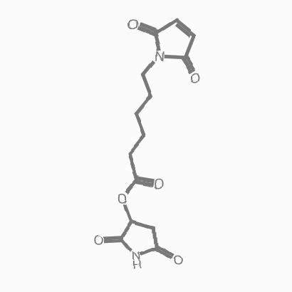 O=C1CC(OC(=O)CCCCCN2C(=O)C=CC2=O)C(=O)N1